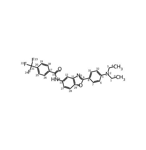 CCN(CC)c1ccc(-c2nc3cc(NC(=O)c4ccc(C(F)(F)F)cc4)ccc3o2)cc1